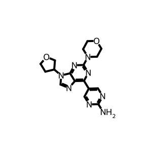 Nc1ncc(-c2nc(N3CCOCC3)nc3c2ncn3C2CCOC2)cn1